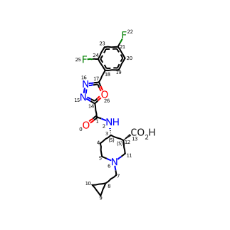 O=C(N[C@H]1CCN(CC2CC2)C[C@@H]1C(=O)O)c1nnc(-c2ccc(F)cc2F)o1